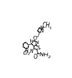 Cn1ccc(COc2nc(-c3cccc(Cl)c3)c3c(N)c(C(N)=O)sc3n2)n1